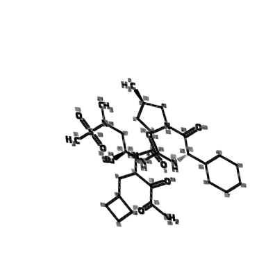 C[C@@H]1C[C@@H](C(=O)NC(CC2CCC2)C(=O)C(N)=O)N(C(=O)[C@@H](NC(=O)N[C@H](CN(C)S(C)(=O)=O)C(C)(C)C)C2CCCCC2)C1